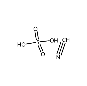 C#N.O=S(=O)(O)O